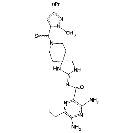 CCCc1cc(C(=O)N2CCC3(CC2)CN/C(=N\C(=O)c2nc(CI)c(N)nc2N)N3)n(C)n1